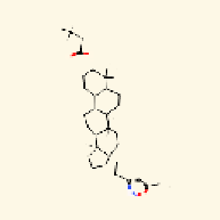 Cc1cc(CC[C@]23CCC[C@@H]2[C@H]2CCC4[C@@]5(C)CC[C@H](OC(=O)CC(C)(C)C(=O)O)C(C)(C)C5CC[C@@]4(C)[C@]2(C)CC3)no1